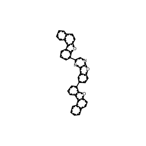 c1ccc2c(c1)ccc1oc3c(-c4ccc5oc6ncc(-c7cccc8c7oc7ccc9ccccc9c78)nc6c5c4)cccc3c12